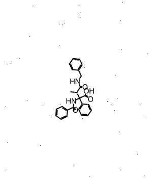 CC(C(=O)NCc1ccccc1)C(NC(=O)c1ccccc1)(C(=O)O)c1ccccc1